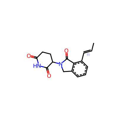 C/C=C/c1cccc2c1C(=O)N(C1CCC(=O)NC1=O)C2